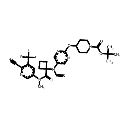 CN(C(=O)C1(N(C=S)c2cnc(OC3CCN(C(=O)OC(C)(C)C)CC3)nc2)CCC1)c1cnc(C#N)c(C(F)(F)F)c1